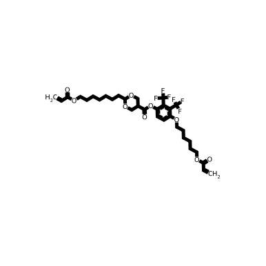 C=CC(=O)OCCCCCCCC1OCC(C(=O)Oc2ccc(OCCCCCCOC(=O)C=C)c(C(F)(F)F)c2C(F)(F)F)CO1